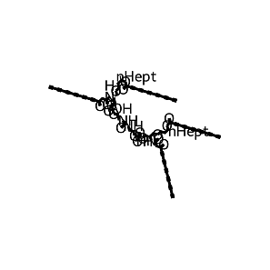 C#CC#CC#CC#CC#CC#CC(=O)CC(=O)N[C@H](COCC[C@@H](CCCCCCC)OC(=O)C#CC#CC#CC#CC#CC#C)COP(=O)(O)OCCNC(=O)NCCOP(=O)(O)OC[C@@H](COCC[C@@H](CCCCCCC)OC(=O)C#CC#CC#CC#CC#CC#C)NC(=O)CC(=O)C#CC#CC#CC#CC#CC#C